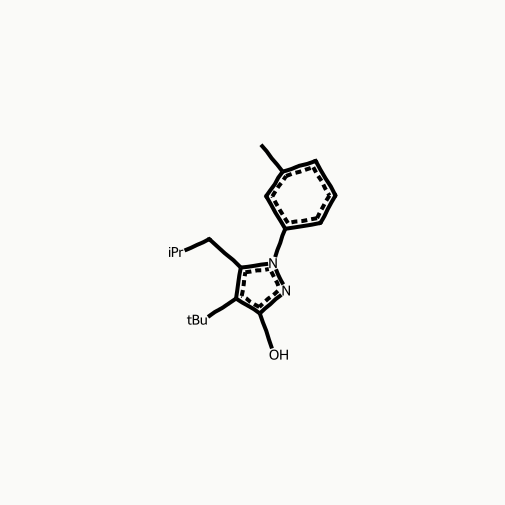 Cc1cccc(-n2nc(O)c(C(C)(C)C)c2CC(C)C)c1